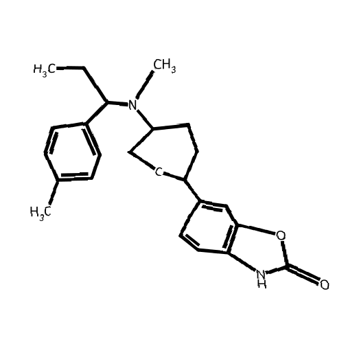 CCC(c1ccc(C)cc1)N(C)C1CCC(c2ccc3[nH]c(=O)oc3c2)CC1